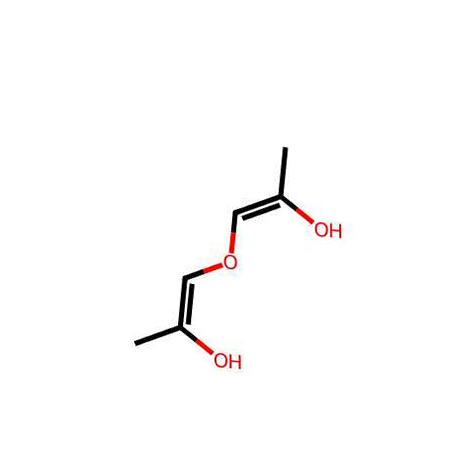 CC(O)=COC=C(C)O